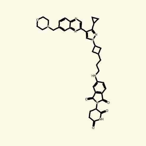 O=C1CCC(N2C(=O)c3ccc(NCCCC4CC(n5cc(-c6cnc7ccc(CN8CCOCC8)cc7n6)c(C6CC6)n5)C4)cc3C2=O)C(=O)N1